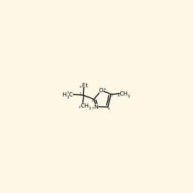 CCC(C)(C)c1ncc(C)o1